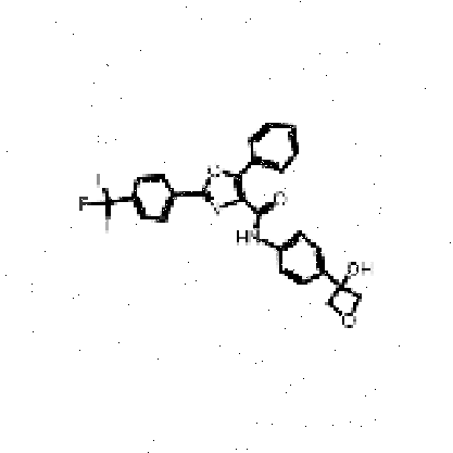 O=C(Nc1ccc(C2(O)COC2)cc1)c1nc(-c2ccc(C(F)(F)F)cc2)oc1-c1ccccc1